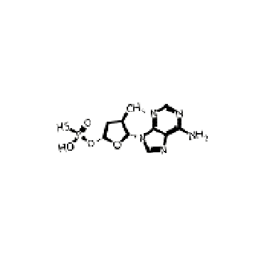 CC1C[C@@H](OP(=O)(O)S)O[C@H]1n1cnc2c(N)ncnc21